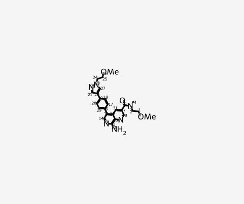 COCCN(C)C(=O)c1cnc2c(N)ncc(-c3ccc(-c4cnn(CCOC)c4)cc3)c2c1